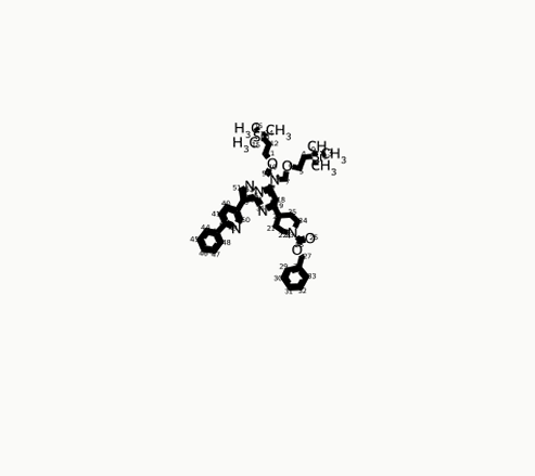 C[Si](C)(C)CCOCN(COCC[Si](C)(C)C)c1cc(C2CCN(C(=O)OCc3ccccc3)CC2)nc2c(-c3ccc(-c4ccccc4)nc3)cnn12